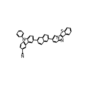 N#Cc1ccc2c(c1)c1cc(-c3ccc4cc(-c5ccc6nc7c8ccccc8sc7n6c5)ccc4c3)ccc1n2-c1ccccc1